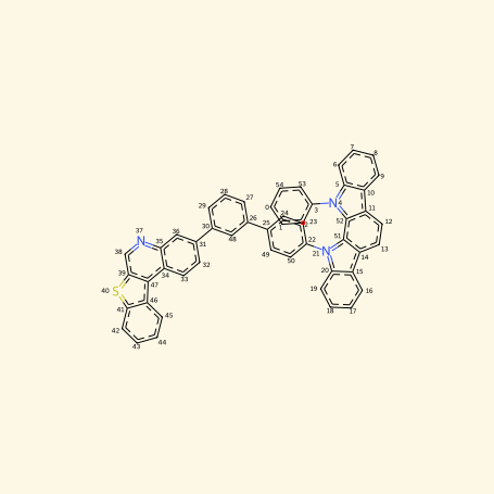 c1ccc(-n2c3ccccc3c3ccc4c5ccccc5n(-c5ccc(-c6cccc(-c7ccc8c(c7)ncc7sc9ccccc9c78)c6)cc5)c4c32)cc1